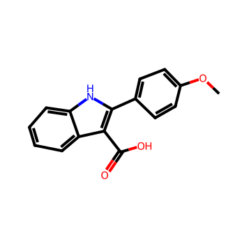 COc1ccc(-c2[nH]c3ccccc3c2C(=O)O)cc1